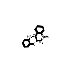 CC(=O)N1c2ccccc2[C@H](Nc2ccccc2Cl)C[C@H]1C